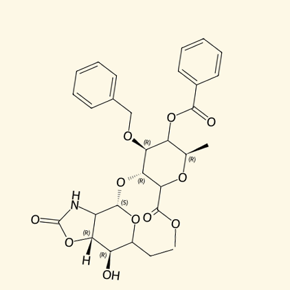 CCC1O[C@@H](O[C@H]2C(C(=O)OC)O[C@H](C)C(OC(=O)c3ccccc3)[C@@H]2OCc2ccccc2)C2NC(=O)O[C@H]2[C@@H]1O